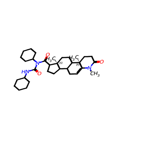 CN1C(=O)CC[C@@]2(C)C1=CCC1C3CCC(C(=O)N(C(=O)NC4CCCCC4)C4CCCCC4)[C@@]3(C)CCC12